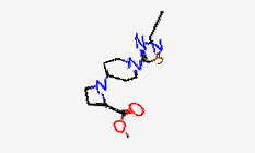 COC(=O)C1CCN1C1CCN(c2nc(C)ns2)CC1